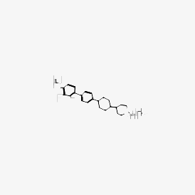 CCC[SiH]1CCC(C2CCC(c3ccc(-c4ccc(OCC)c(F)c4F)cc3)CC2)CC1